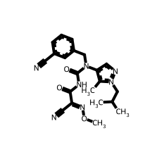 CON=C(C#N)C(=O)NC(=O)N(Cc1cccc(C#N)c1)c1cnn(CC(C)C)c1C